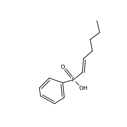 CCCCC=CP(=O)(O)c1ccccc1